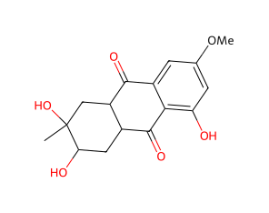 COc1cc(O)c2c(c1)C(=O)C1CC(C)(O)C(O)CC1C2=O